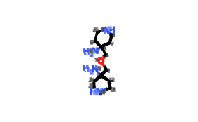 NC1(COCC2(N)CCNCC2)CCNCC1